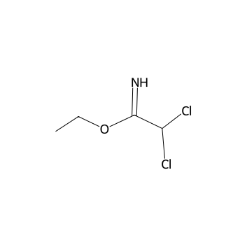 CCOC(=N)C(Cl)Cl